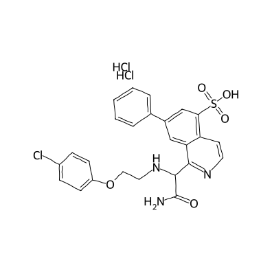 Cl.Cl.NC(=O)C(NCCOc1ccc(Cl)cc1)c1nccc2c(S(=O)(=O)O)cc(-c3ccccc3)cc12